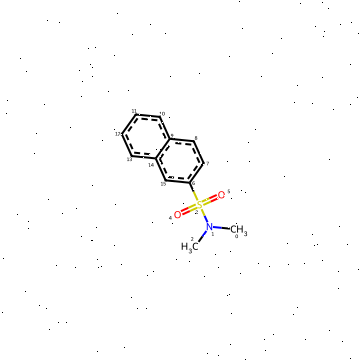 CN(C)S(=O)(=O)c1ccc2ccccc2c1